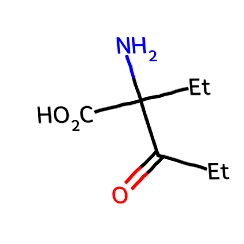 CCC(=O)C(N)(CC)C(=O)O